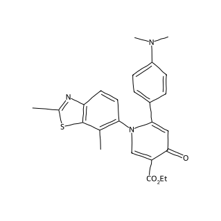 CCOC(=O)c1cn(-c2ccc3nc(C)sc3c2C)c(-c2ccc(N(C)C)cc2)cc1=O